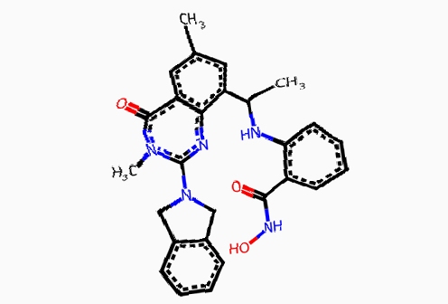 Cc1cc(C(C)Nc2ccccc2C(=O)NO)c2nc(N3Cc4ccccc4C3)n(C)c(=O)c2c1